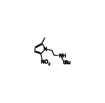 Cc1ccc([N+](=O)[O-])n1CCNC(C)(C)C